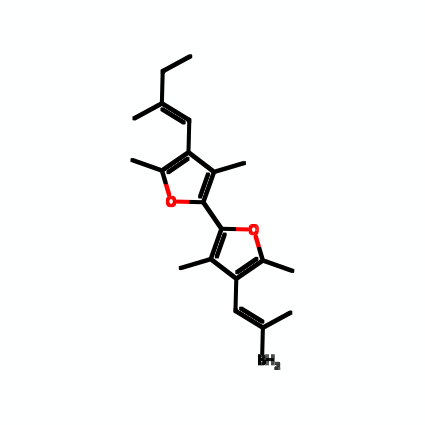 B/C(C)=C/c1c(C)oc(-c2oc(C)c(/C=C(\C)CC)c2C)c1C